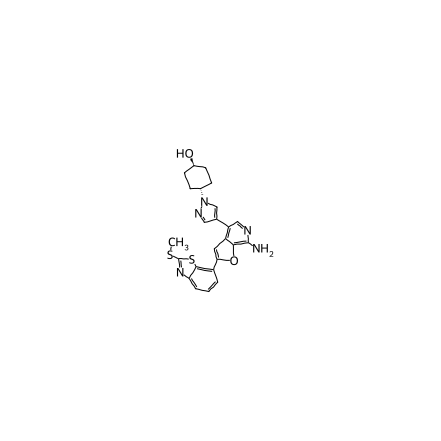 CSc1nc2cccc(-c3cc4c(-c5cnn([C@H]6CC[C@H](O)CC6)c5)cnc(N)c4o3)c2s1